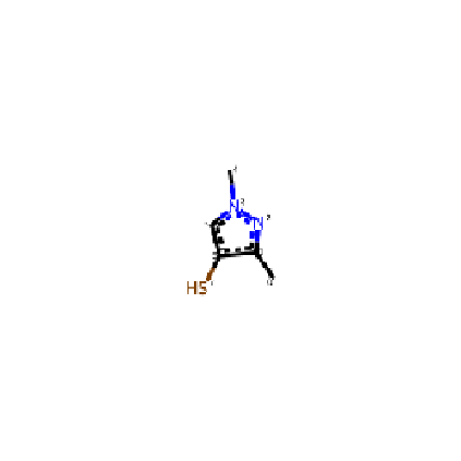 Cc1nn(C)cc1S